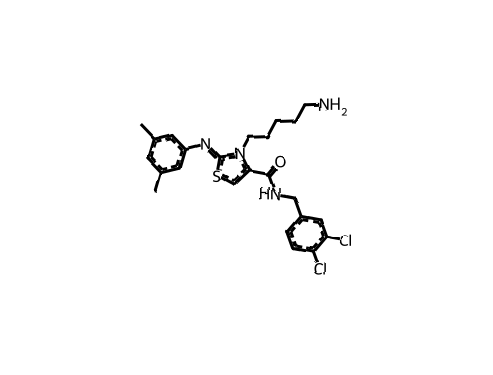 Cc1cc(C)cc(/N=c2\scc(C(=O)NCc3ccc(Cl)c(Cl)c3)n2CCCCCN)c1